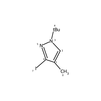 Cc1cn(C(C)(C)C)nc1I